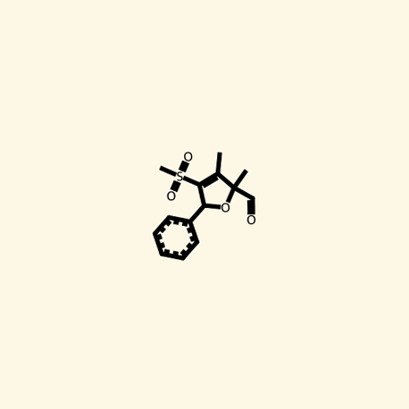 CC1=C(S(C)(=O)=O)C(c2ccccc2)OC1(C)C=O